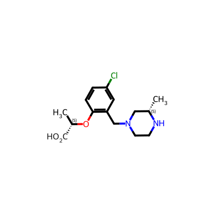 C[C@H](Oc1ccc(Cl)cc1CN1CCN[C@@H](C)C1)C(=O)O